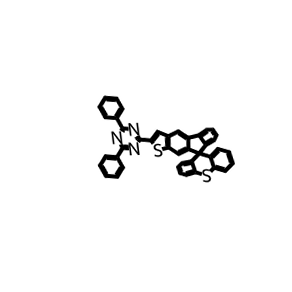 c1ccc(-c2nc(-c3ccccc3)nc(-c3cc4cc5c(cc4s3)C3(c4ccccc4Sc4ccccc43)c3ccccc3-5)n2)cc1